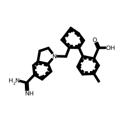 Cc1ccc(-c2ccccc2CN2CCc3cc(C(=N)N)ccc32)c(C(=O)O)c1